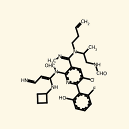 C=CCCN(/C(=N/C)c1cc(Cl)c(-c2c(O)cccc2F)nc1N(C=O)/C(=C/C=N)NC1CCC1)C(C)CNC=O